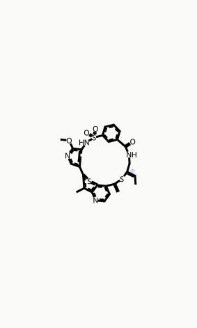 C=C1S/C(=C\C)CNC(=O)c2cccc(c2)S(=O)(=O)Nc2cc(cnc2OC)-c2sc3c1ccnc3c2C